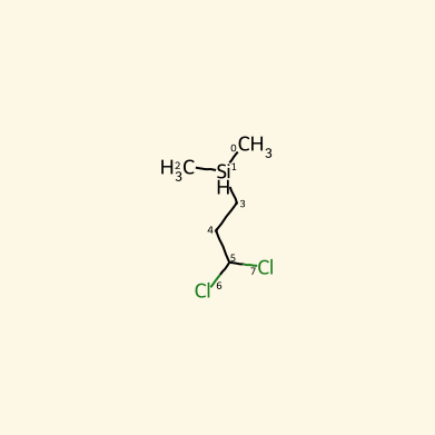 C[SiH](C)CCC(Cl)Cl